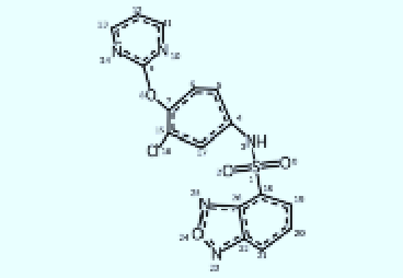 O=S(=O)(Nc1ccc(Oc2ncccn2)c(Cl)c1)c1cccc2nonc12